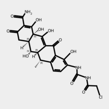 C[C@H]1c2ccc(NC(=O)NC(=O)CCl)c(O)c2C(=O)C2=C(O)[C@]3(O)C(O)=C(C(N)=O)C(=O)C[C@@H]3[C@@H](O)[C@@H]21